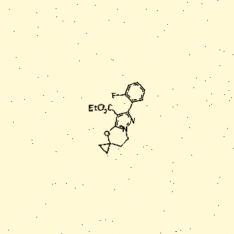 CCOC(=O)c1c(-c2ccccc2F)nn2c1OC1(CC2)CC1